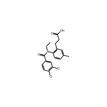 CCN(C(=O)c1ccc(Cl)c(Cl)c1)c1ccc(C)cc1CCC(=O)O